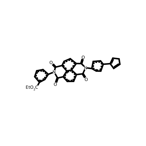 CCOC(=O)c1cccc(N2C(=O)c3ccc4c5c(ccc(c35)C2=O)C(=O)N(c2ccc(C3=CCC=C3)cc2)C4=O)c1